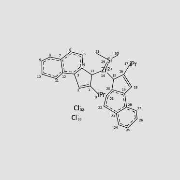 CC(C)C1=Cc2c(ccc3ccccc23)[CH]1[Zr+2]([CH]1C(C(C)C)=Cc2c1ccc1ccccc21)=[Si](C)C.[Cl-].[Cl-]